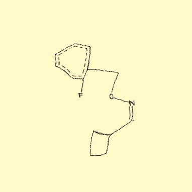 Fc1ccccc1CO/N=[C]\C1CCC1